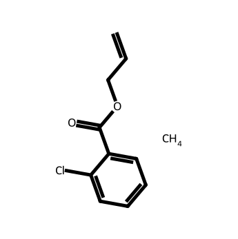 C.C=CCOC(=O)c1ccccc1Cl